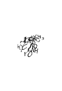 Cc1ccccc1C(O)[C@H]1O[C@@H](n2cc(I)c(=O)[nH]c2=O)C[C@@]1(O)c1ccccc1C